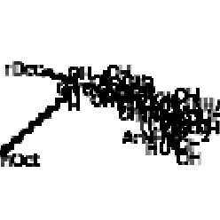 CCCCCCCC/C=C\CCCCCCCCCCCCCC(=O)N[C@@H](CO[C@@H]1OC(CO)[C@@H](O[C@@H]2OC(CO)[C@H](O[C@@H]3OC(CO)[C@H](O)[C@H](O[C@@H]4OC(CO)[C@H](O[C@@H]5OC(CO)[C@H](O)[C@H](O)C5NC(C)=O)[C@H](O[C@]5(C(=O)O)CC(O)[C@@H](NC(C)=O)C([C@H](O)[C@H](O)CO)O5)C4O)C3NC(C)=O)[C@H](O)C2O)[C@H](O)C1O)[C@H](O)/C=C/CCCCCCCCCCCCC